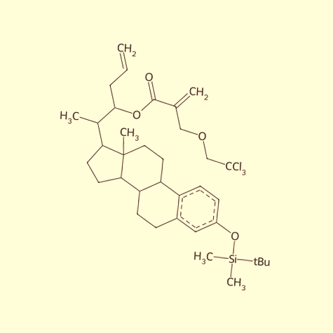 C=CCC(OC(=O)C(=C)COCC(Cl)(Cl)Cl)C(C)C1CCC2C3CCc4cc(O[Si](C)(C)C(C)(C)C)ccc4C3CCC12C